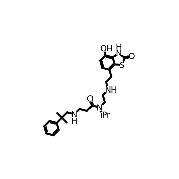 CC(C)N(CCNCCc1ccc(O)c2[nH]c(=O)sc12)C(=O)CCNCC(C)(C)c1ccccc1